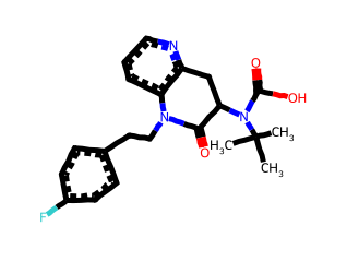 CC(C)(C)N(C(=O)O)C1Cc2ncccc2N(CCc2ccc(F)cc2)C1=O